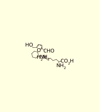 NC1CCCCC1.NCCCC[C@H](N)C(=O)O.O=Cc1ccc(CO)o1